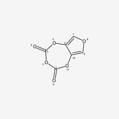 O=C1OC(=O)Oc2cocc2O1